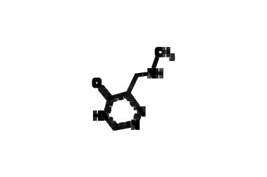 CNCc1nnc[nH]c1=O